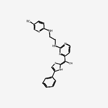 N#CC(=C1NC(c2ccccc2)=CS1)c1ccnc(NCCNc2ccc(C#N)cn2)n1